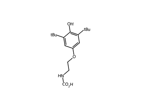 CC(C)(C)c1cc(OCCNC(=O)O)cc(C(C)(C)C)c1O